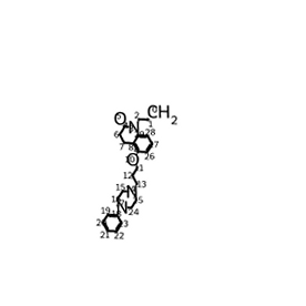 C=CCN1C(=O)CCc2c(OCCCN3CCN(c4ccccc4)CC3)cccc21